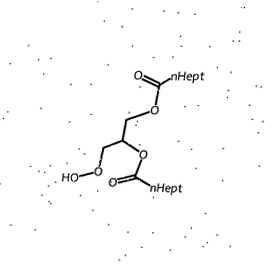 CCCCCCCC(=O)OCC(COO)OC(=O)CCCCCCC